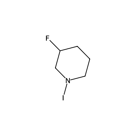 FC1CCCN(I)C1